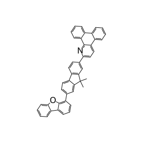 CC1(C)c2cc(-c3ccc4c5ccccc5c5ccccc5c4n3)ccc2-c2ccc(-c3cccc4c3oc3ccccc34)cc21